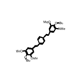 CCC(C)Oc1c(NC)cc(/C=C/c2ccc(/C=C/c3cc(OC)c(OC(C)CC)c(OC)c3)cc2)cc1OC